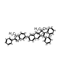 Cn1c(-c2ccccc2)nc2cc(-c3ccc4cc5c(cc4c3)C(C)(C)c3c-5c4ccccc4c4ccccc34)ccc21